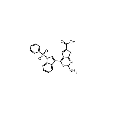 Nc1nc(-c2cn(S(=O)(=O)c3ccccc3)c3ccccc23)c2cc(C(=O)O)sc2n1